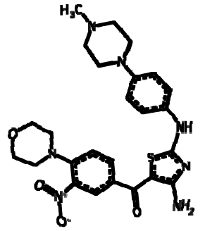 CN1CCN(c2ccc(Nc3nc(N)c(C(=O)c4ccc(N5CCOCC5)c([N+](=O)[O-])c4)s3)cc2)CC1